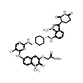 CNC(=O)COc1cc2cc(Nc3nc(NC[C@H]4CC[C@@H](CNc5cccc6c(C7CCC(=O)NC7=O)nn(C)c56)CC4)ncc3Cl)ccc2n(C)c1=O